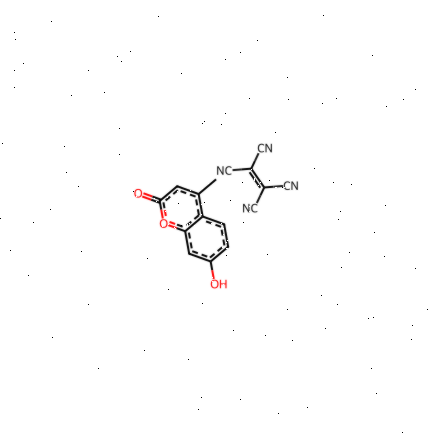 Cc1cc(=O)oc2cc(O)ccc12.N#CC(C#N)=C(C#N)C#N